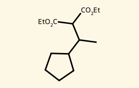 CCOC(=O)C(C(=O)OCC)C(C)C1CCCC1